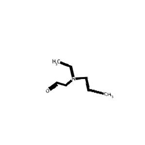 CCCN(CC)CC=O